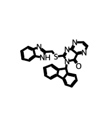 O=c1c2nccnc2nc(SCc2nc3ccccc3[nH]2)n1C1c2ccccc2-c2ccccc21